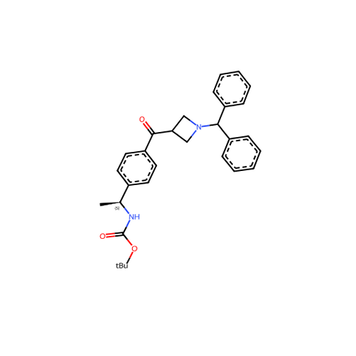 C[C@H](NC(=O)OC(C)(C)C)c1ccc(C(=O)C2CN(C(c3ccccc3)c3ccccc3)C2)cc1